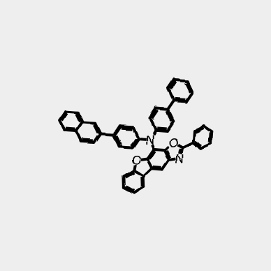 c1ccc(-c2ccc(N(c3ccc(-c4ccc5ccccc5c4)cc3)c3c4oc(-c5ccccc5)nc4cc4c3oc3ccccc34)cc2)cc1